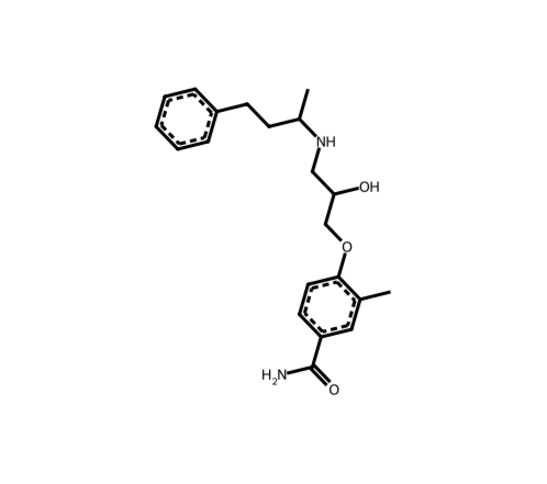 Cc1cc(C(N)=O)ccc1OCC(O)CNC(C)CCc1ccccc1